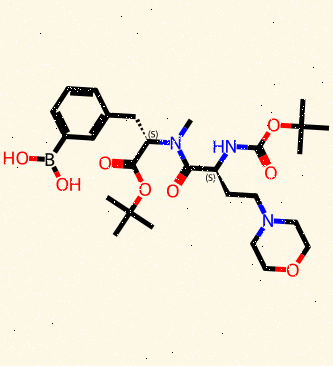 CN(C(=O)[C@H](CCN1CCOCC1)NC(=O)OC(C)(C)C)[C@@H](Cc1cccc(B(O)O)c1)C(=O)OC(C)(C)C